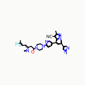 C=N/C(=C\C=C(/C)F)CC(=O)N1CCN(c2ccc(-c3cc(-c4cnn(C)c4)cn4nc(C)c(C#N)c34)cn2)CC1